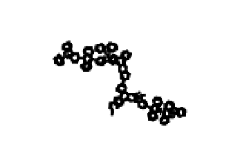 C=C/C=C\c1cc2c3ccc(-c4ccc5cc6c7ccccc7c7cc8c(cc7c6cc5c4)-c4ccc(-c5c6ccccc6c(-c6ccc7c(c6)c6ccccc6n7-c6ccccc6)c6ccccc56)cc4[Si]8(c4ccccc4)c4ccccc4)cc3c3cc4c(cc3c2cc1C)-c1ccc(-c2c3ccccc3c(N(c3ccccc3C)c3cccc5c3oc3ccccc35)c3ccccc23)cc1[Si]4(C)C